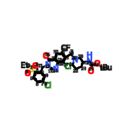 CCS(=O)(=O)c1ccc(Cl)cc1Cn1cnc2c(Cl)c(CN3CCC[C@H](NC(=O)OC(C)(C)C)C3)c(C(F)(F)F)cc2c1=O